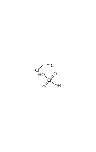 ClCCl.[O]=[Cr](=[O])([OH])[OH]